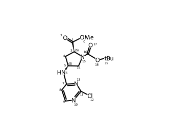 COC(=O)[C@@H]1C[C@H](Nc2ccnc(Cl)n2)CN1C(=O)OC(C)(C)C